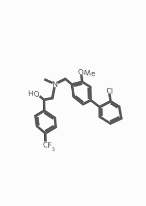 COc1cc(-c2ccccc2Cl)ccc1CN(C)CC(O)c1ccc(C(F)(F)F)cc1